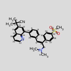 CN(C)C/C(=C/c1cccc(-c2cc(C(C)(C)C#N)cc3cccnc23)c1)c1ccc(S(C)(=O)=O)cc1